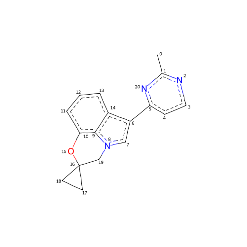 Cc1nccc(-c2cn3c4c(cccc24)OC2(CC2)C3)n1